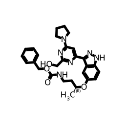 C[C@H](CCNC(=O)OCc1ccccc1)Oc1ccc2[nH]nc(-c3cc(N4CCCC4)nc(CO)n3)c2c1